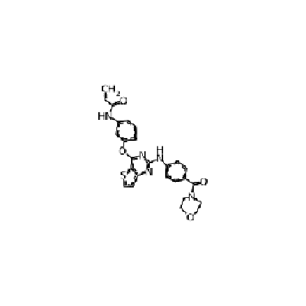 C=CC(=O)Nc1cccc(Oc2nc(Nc3ccc(C(=O)N4CCOCC4)cc3)nc3ccsc23)c1